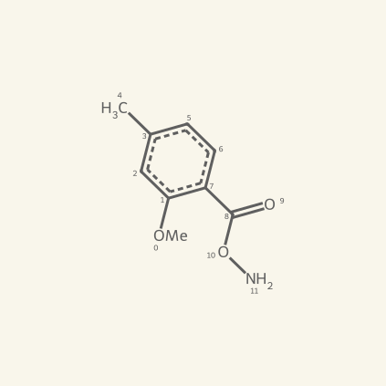 COc1cc(C)ccc1C(=O)ON